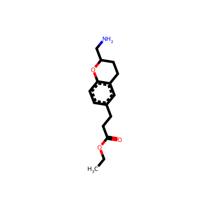 CCOC(=O)CCc1ccc2c(c1)CCC(CN)O2